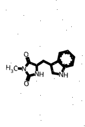 CN1C(=O)NC(CC2CNc3ccccc32)C1=O